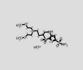 COCCN(CCOC)CCC1CNc2cc(S(N)(=O)=O)sc2S1(=O)=O.Cl